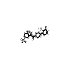 CS(=O)(=O)N1CCc2[nH]nc(C(=O)N3CCC(C4CC=CC(F)=C4C(F)(F)F)CC3)c2C1